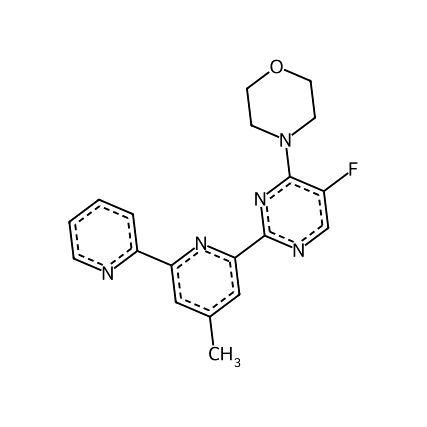 Cc1cc(-c2ccccn2)nc(-c2ncc(F)c(N3CCOCC3)n2)c1